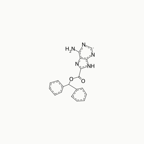 Nc1n[c]nc2[nH]c(C(=O)OC(c3ccccc3)c3ccccc3)nc12